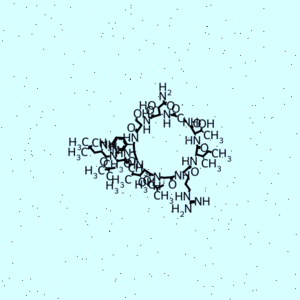 CC[C@H](C)[C@@H]1NC(=O)[C@@H](CCCNC(=N)N)NC(=O)[C@H](CC(C)C)NC(=O)[C@H]([C@H](O)C(C)C)NC(=O)[C@@H](NC(=O)[C@H](CC(C)(C)C)NC(=O)[C@H](N)CC(C)(C)C)[C@@H](c2cccnc2)NC(=O)C(CO)NC(=O)[C@H]([C@H](O)C(N)=O)NC(=O)CNC(=O)[C@H]([C@H](C)O)NC1=O